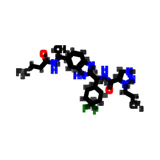 C[C@@H](NC(=O)CCC(F)(F)F)c1ccc2nc([C@@H](NC(=O)c3cnnn3CCC(F)(F)F)C3CCC(F)(F)CC3)[nH]c2c1